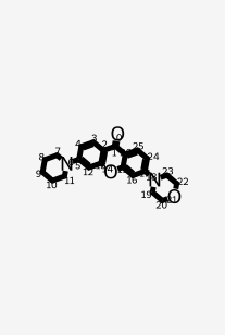 O=c1c2ccc(N3CCCCC3)cc2oc2cc(N3CCOCC3)ccc12